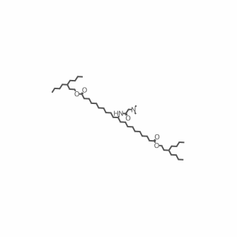 CCCCC(CCCC)CCOC(=O)CCCCCCCCCC(CCCCCCCCCC(=O)OCCC(CCCC)CCCC)NC(=O)CN(C)C